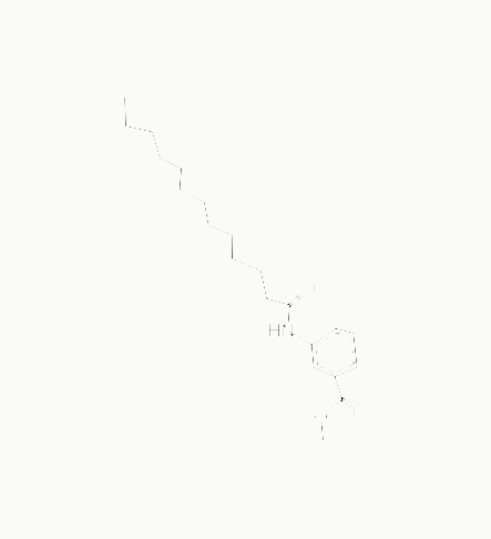 CCCCCCCCCCCCC(=O)Nc1cccc(C(=O)OC)c1